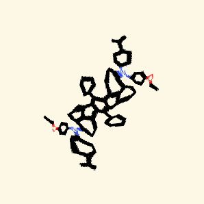 CCOc1ccc(N(c2ccc(C(C)C)cc2)c2ccc3c4c(-c5ccccc5)c5c6cccc7c(N(c8ccc(OCC)cc8)c8ccc(C(C)C)cc8)ccc(c5c(-c5ccccc5)c4c4cccc2c43)c76)cc1